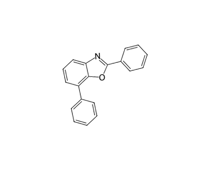 c1ccc(-c2nc3cccc(-c4ccccc4)c3o2)cc1